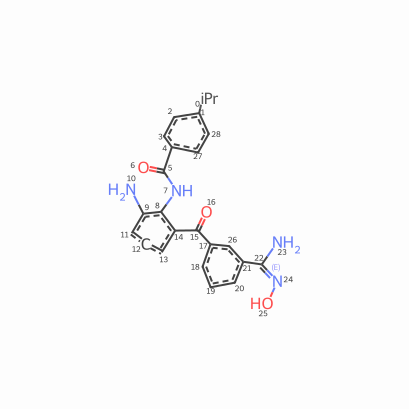 CC(C)c1ccc(C(=O)Nc2c(N)cccc2C(=O)c2cccc(/C(N)=N\O)c2)cc1